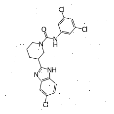 O=C(Nc1cc(Cl)cc(Cl)c1)N1CCCC(c2nc3cc(Cl)ccc3[nH]2)C1